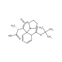 C[C@@H](C(=O)O)C(=S(=O)=O)C1(N2CCCC2)C=CC=CC1C(=O)OC(C)(C)C